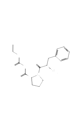 CCOC(=O)OC(=O)[C@@H]1CCCN1C(=O)[C@H](N)Cc1ccccc1